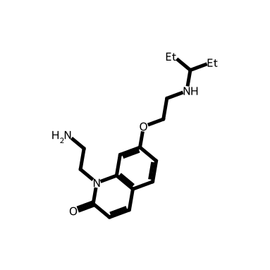 CCC(CC)NCCOc1ccc2ccc(=O)n(CCN)c2c1